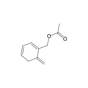 C=C1CC=CC=C1COC(C)=O